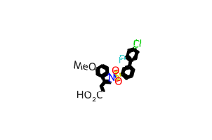 COc1ccc2c(c1)c(CCC(=O)O)cn2S(=O)(=O)c1cccc(-c2ccc(Cl)cc2F)c1